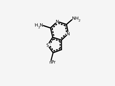 CCCc1cc2nc(N)nc(N)c2s1